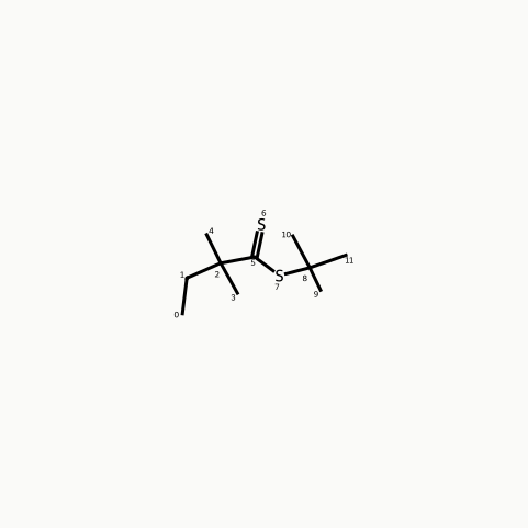 CCC(C)(C)C(=S)SC(C)(C)C